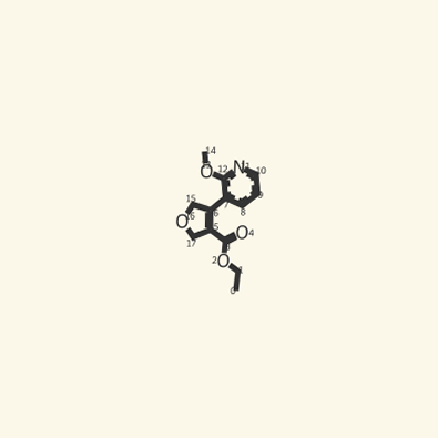 CCOC(=O)C1=C(c2cccnc2OC)COC1